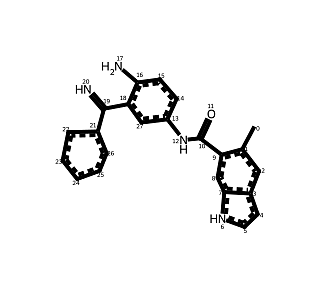 Cc1cc2cc[nH]c2cc1C(=O)Nc1ccc(N)c(C(=N)c2ccccc2)c1